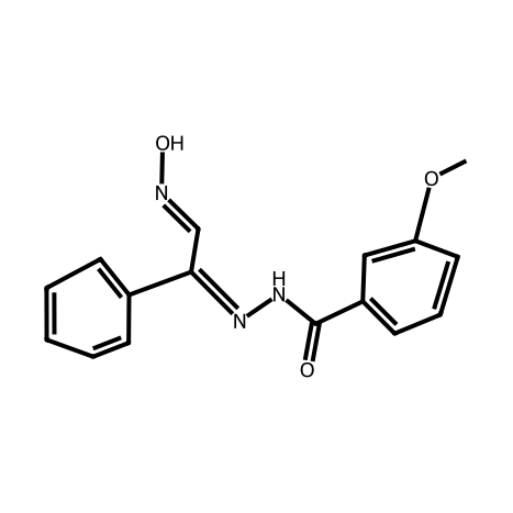 COc1cccc(C(=O)N/N=C(\C=N\O)c2ccccc2)c1